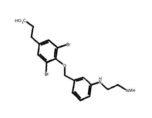 CNCCNc1cccc(COc2c(Br)cc(CCC(=O)O)cc2Br)c1